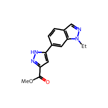 CCn1ncc2ccc(-c3cc(C(=O)OC)n[nH]3)cc21